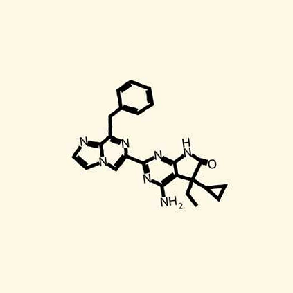 CCC1(C2CC2)C(=O)Nc2nc(-c3cn4ccnc4c(Cc4ccccc4)n3)nc(N)c21